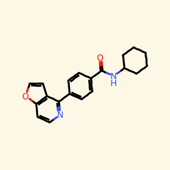 O=C(NC1CCCCC1)c1ccc(-c2nccc3occc23)cc1